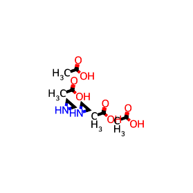 C1CN1.C1CN1.CC(=O)O.CC(=O)O.CC(=O)O.CC(=O)O